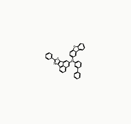 c1ccc(-c2cccc(N(c3cc4c5c(cccc5c3)-c3nc(-c5ccccc5)sc3-4)c3ccc4sc5ccccc5c4c3)c2)cc1